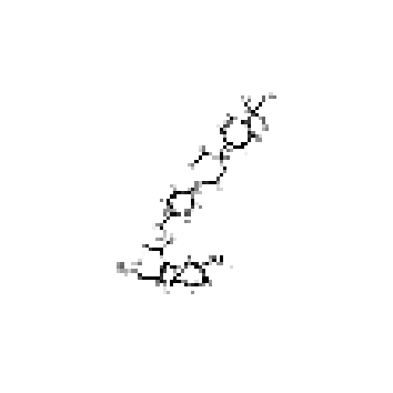 CCc1nc2ccc(C)cn2c1C(=O)NCc1ccc(N2CCN(c3ccc(C(F)(F)F)cc3)CC2)cc1